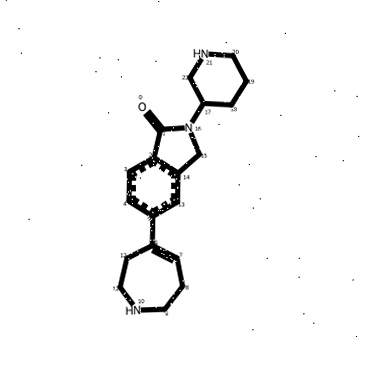 O=C1c2ccc(C3=CCCNCC3)cc2CN1C1CCCNC1